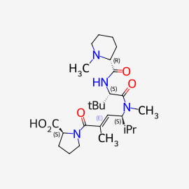 C/C(=C\[C@H](C(C)C)N(C)C(=O)[C@@H](NC(=O)[C@H]1CCCCN1C)C(C)(C)C)C(=O)N1CCC[C@H]1C(=O)O